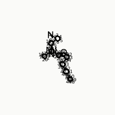 N#Cc1ccccc1-c1cccc(-c2nc(-c3ccccc3)nc(-c3ccc4c(c3)oc3cccc(-c5cccc(-c6ccc(-c7ccccc7)cc6)c5)c34)n2)c1